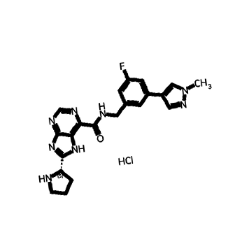 Cl.Cn1cc(-c2cc(F)cc(CNC(=O)c3ncnc4nc([C@@H]5CCCN5)[nH]c34)c2)cn1